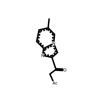 CC(=O)CC(=O)c1cn2cc(C)ccc2n1